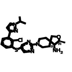 CC(C)n1ccc(-c2cccc(Sc3cnc(N4CCC5(CC4)CO[C@@H](C)[C@H]5N)nc3)c2Cl)n1